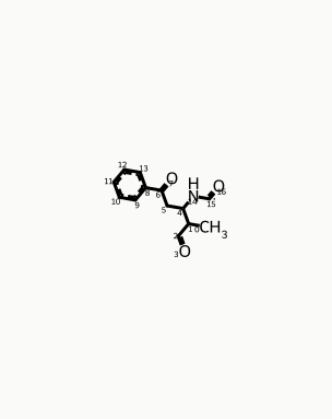 CC(C=O)C(CC(=O)c1ccccc1)N[C]=O